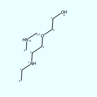 CCNCCOCCO.CNC